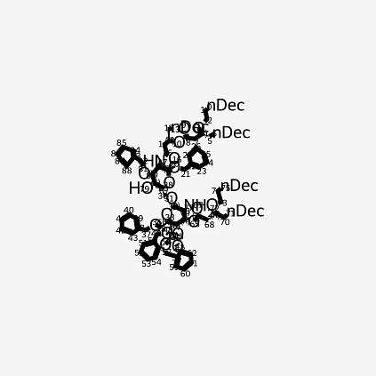 CCCCCCCCCCCCO[C@H](CCCCCCCCCCC)CC(=O)O[C@H](CCCCCCCCCCC)CC(=O)N[C@H]1[C@@H](OCc2ccccc2)O[C@H](CO[C@@H]2O[C@H](COCc3ccccc3)[C@@H](OP(=O)(OCc3ccccc3)OCc3ccccc3)[C@H](OC(=O)C[C@@H](CCCCCCCCCCC)OCCCCCCCCCCCC)[C@H]2N)[C@@H](O)[C@@H]1OCc1ccccc1